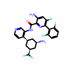 Nc1cc(F)c(-c2c(F)cccc2F)nc1C(=O)Nc1cnccc1[C@H]1C[C@@H](N)C[C@@H](C(F)F)C1